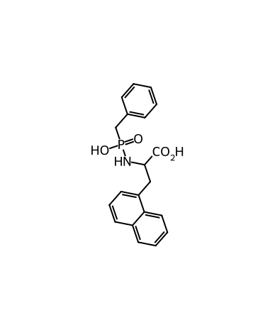 O=C(O)C(Cc1cccc2ccccc12)NP(=O)(O)Cc1ccccc1